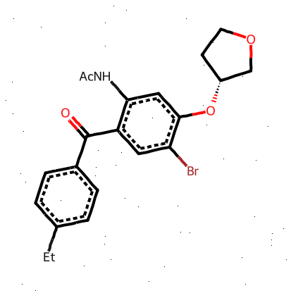 CCc1ccc(C(=O)c2cc(Br)c(O[C@@H]3CCOC3)cc2NC(C)=O)cc1